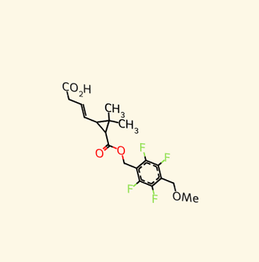 COCc1c(F)c(F)c(COC(=O)C2C(C=CCC(=O)O)C2(C)C)c(F)c1F